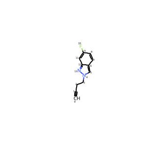 C#CCCn1cc2ccc(F)cc2n1